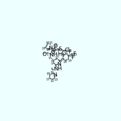 O=C(NCc1cc(NCc2ccccn2)nc(-c2ccc(C(F)(F)F)cc2)c1)[C@@H]1C=CCN1S(=O)(=O)c1ccc(Cl)s1